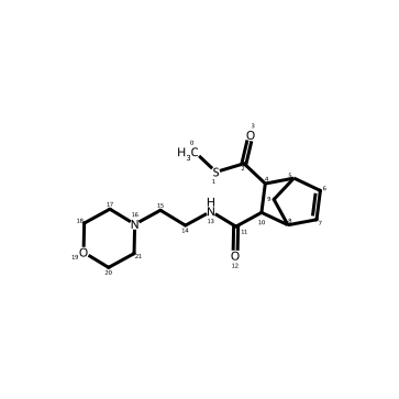 CSC(=O)C1C2C=CC(C2)C1C(=O)NCCN1CCOCC1